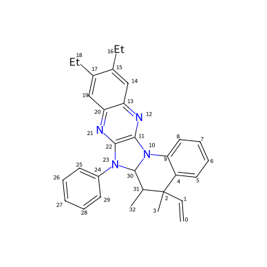 C=CC1(C)c2ccccc2N2c3nc4cc(CC)c(CC)cc4nc3N(c3ccccc3)C2C1C